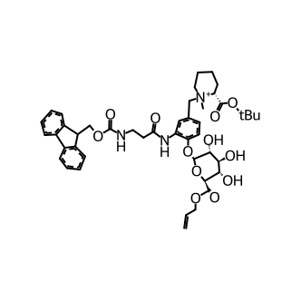 C=CCOC(=O)[C@H]1O[C@@H](Oc2ccc(C[N+]3(C)CCCC[C@@H]3C(=O)OC(C)(C)C)cc2NC(=O)CCNC(=O)OCC2c3ccccc3-c3ccccc32)[C@H](O)[C@@H](O)[C@@H]1O